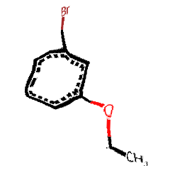 C[CH]Oc1cccc(Br)c1